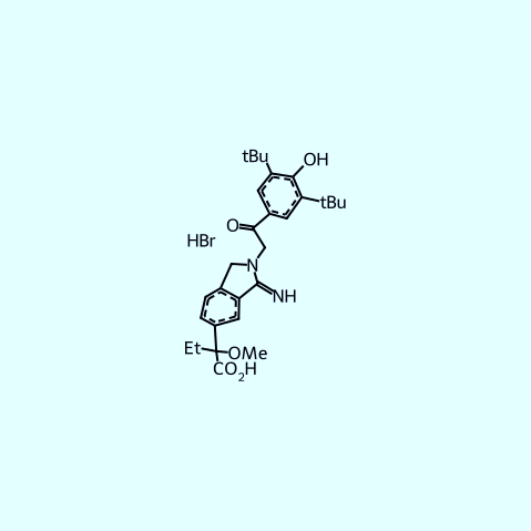 Br.CCC(OC)(C(=O)O)c1ccc2c(c1)C(=N)N(CC(=O)c1cc(C(C)(C)C)c(O)c(C(C)(C)C)c1)C2